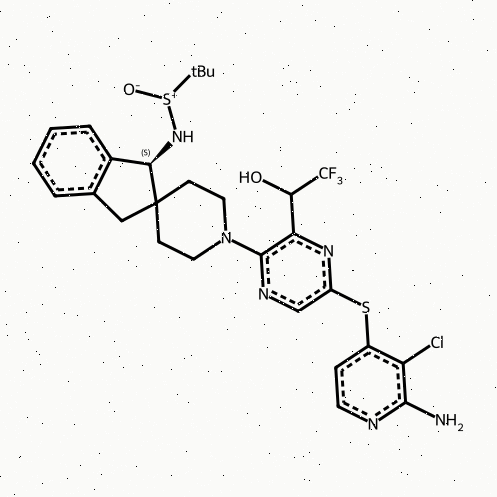 CC(C)(C)[S+]([O-])N[C@@H]1c2ccccc2CC12CCN(c1ncc(Sc3ccnc(N)c3Cl)nc1C(O)C(F)(F)F)CC2